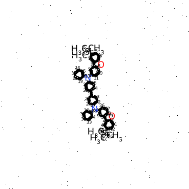 C[Si](C)(C)c1ccc2oc3ccc(N(c4ccccc4)c4ccc(-c5ccc(N(c6ccccc6)c6ccc7oc8ccc([Si](C)(C)C)cc8c7c6)cc5)cc4)cc3c2c1